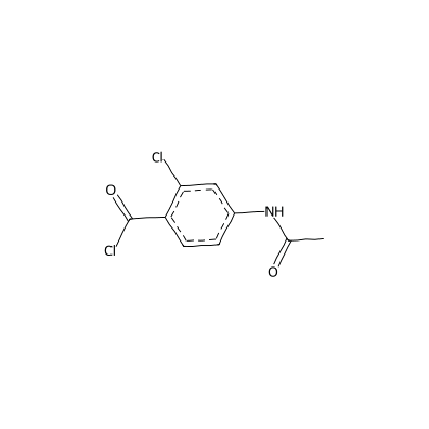 CC(=O)Nc1ccc(C(=O)Cl)c(Cl)c1